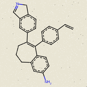 C=Cc1ccc(C2=C(c3ccc4c(c3)C=NC4)CCCc3cc(N)ccc32)cc1